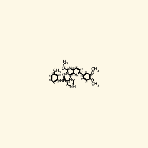 COc1nc(N2CCNCC2C(=O)Nc2cccc(C)c2)c2nc(-c3ccc(OC)c(OC)c3)ccc2n1